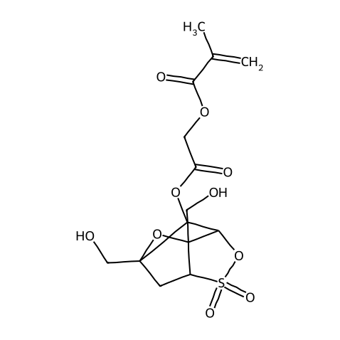 C=C(C)C(=O)OCC(=O)OC1C2OS(=O)(=O)C3CC1(CO)OC23CO